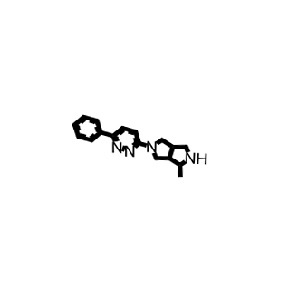 CC1NCC2CN(c3ccc(-c4ccccc4)nn3)CC21